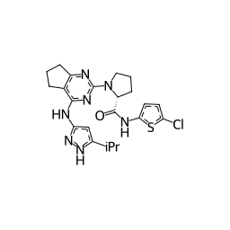 CC(C)c1cc(Nc2nc(N3CCC[C@@H]3C(=O)Nc3ccc(Cl)s3)nc3c2CCC3)n[nH]1